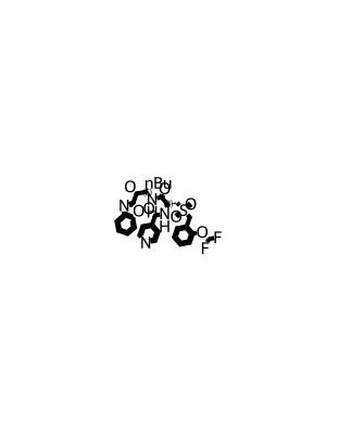 CCCC[C@H](NC(=O)[C@H](CS(=O)(=O)Cc1ccccc1OC(F)F)NC(=O)c1ccncc1)C(=O)c1nc2ccccc2o1